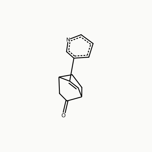 O=C1CC2CCC1C=C2c1cccnc1